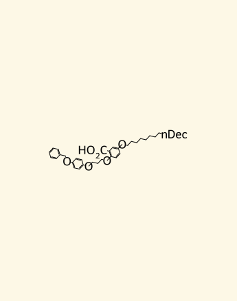 CCCCCCCCCCCCCCCCCCOc1ccc(OCCCOc2ccc(OCc3ccccc3)cc2)c(C(=O)O)c1